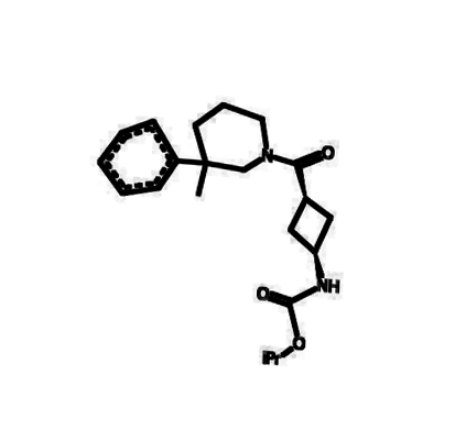 CC(C)OC(=O)N[C@H]1C[C@@H](C(=O)N2CCCC(C)(c3ccccc3)C2)C1